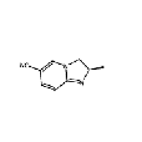 C[C@@H]1CN2C=C(C#N)C=CC2=N1